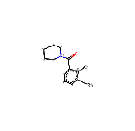 Cc1cccc(C(=O)N2CCCCC2)c1C